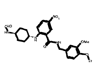 CCOc1ccc(CNC(=O)c2cc([N+](=O)[O-])ccc2N[C@H]2CC[C@H](NC=O)CC2)cc1OC